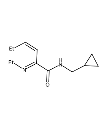 CC/C=C\C(=N/CC)C(=O)NCC1CC1